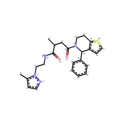 Cc1ccnn1CCNC(=O)C(C)CC(=O)N1CCc2sccc2C1c1ccccc1